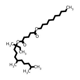 CCCCCCCCCCOC(=O)CCCC(=O)OC(C)(CC)CCCC(C)CCCC(C)C